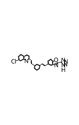 Clc1ccc2ccc(C=Cc3cccc(C=Cc4ccc5oc(-c6nnn[nH]6)nc5c4)c3)nc2c1